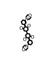 O=C1CC(C2CC(=O)C(=C3C=C(N4CCOCC4)CCC3)C(=O)C2)CC(=O)C1=C1C=C(N2CCOCC2)CCC1